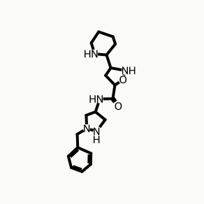 O=C(NC1CNN(Cc2ccccc2)C1)C1CC(C2CCCCN2)NO1